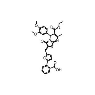 CCOC(=O)C1=C(C)N=c2s/c(=C\c3ccc(-c4ccccc4C(=O)O)o3)c(=O)n2C1c1ccc(OC)c(OC)c1